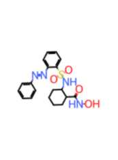 O=C(NO)C1CCCCC1NS(=O)(=O)c1ccccc1N=Nc1ccccc1